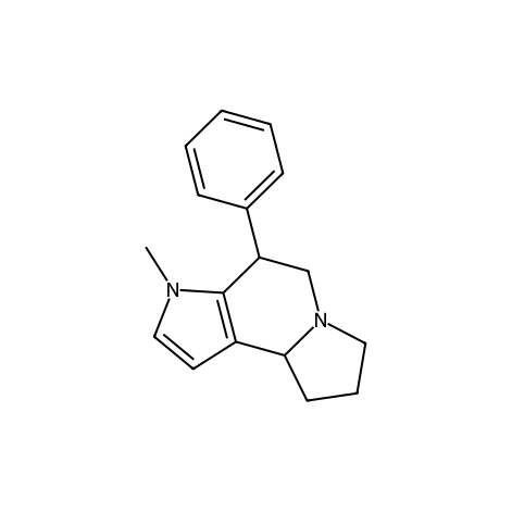 Cn1ccc2c1C(c1ccccc1)CN1CCCC21